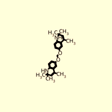 CC1=CC(C)(C)Nc2ccc(OCOc3ccc4c(c3)C(C)=CC(C)(C)N4)cc21